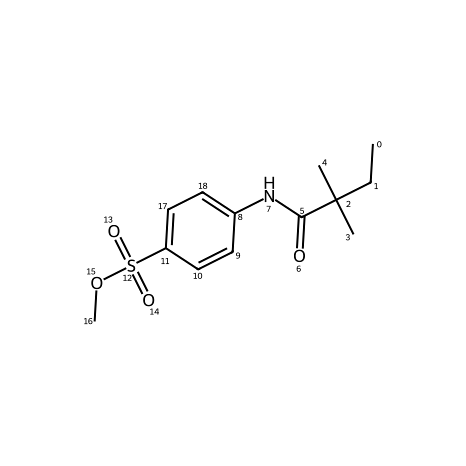 CCC(C)(C)C(=O)Nc1ccc(S(=O)(=O)OC)cc1